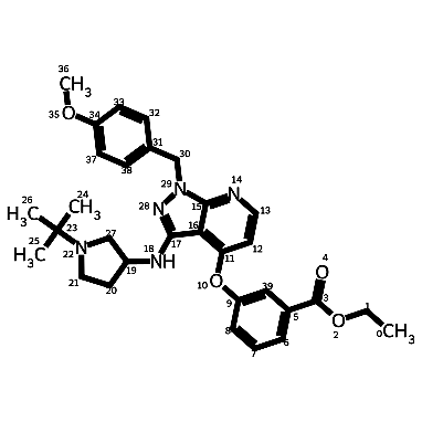 CCOC(=O)c1cccc(Oc2ccnc3c2c(NC2CCN(C(C)(C)C)C2)nn3Cc2ccc(OC)cc2)c1